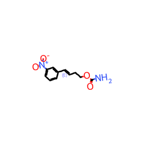 NC(=O)OCC/C=C/c1cccc([N+](=O)[O-])c1